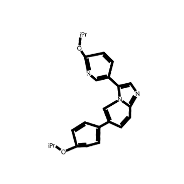 CC(C)Oc1ccc(-c2ccc3ncc(-c4ccc(OC(C)C)nc4)n3c2)cc1